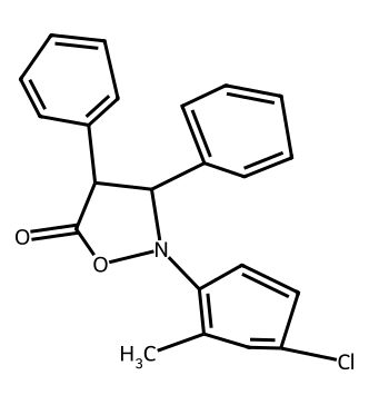 Cc1cc(Cl)ccc1N1OC(=O)C(c2ccccc2)C1c1ccccc1